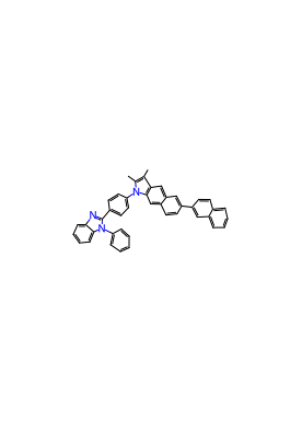 Cc1c(C)n(-c2ccc(-c3nc4ccccc4n3-c3ccccc3)cc2)c2cc3ccc(-c4ccc5ccccc5c4)cc3cc12